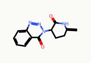 C=C1CCC(n2nnc3ccccc3c2=O)C(=O)N1